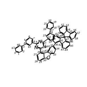 c1ccc(-c2cccc(-c3nc(-c4cccc(-c5ccccc5)c4)nc(-c4cccc5oc6ccc(-c7cccc8c7-c7ccccc7C87c8ccccc8-c8ccccc87)cc6c45)n3)c2)cc1